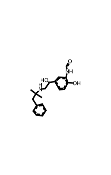 CC(C)(Cc1ccccc1)NCC(O)c1ccc(O)c(NC=O)c1